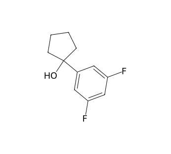 OC1(c2cc(F)cc(F)c2)CCCC1